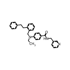 CCN(Cc1ccccc1CCc1ccccc1)c1ccc(C(=O)NCc2cccnc2)cc1